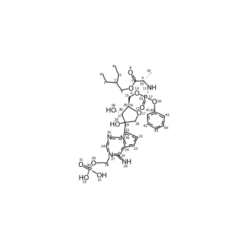 CCC(CC)COC(=O)[C@H](C)N[P@](=O)(OC[C@H]1OCC(O)(c2ccc3c(=N)n(COP(=O)(O)O)cnn23)[C@@H]1O)Oc1ccccc1